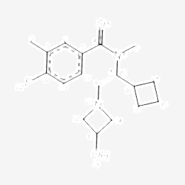 Cc1cc(C(=O)N(C)[C@@H](CN2CC(O)C2)C2CCC2)ccc1F